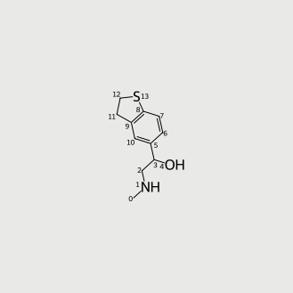 CNCC(O)c1ccc2c(c1)CCS2